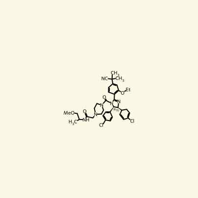 CCOc1cc(C(C)(C)C#N)ccc1C1=N[C@@H](C2C=CC(Cl)=CC2)[C@@H](c2ccc(Cl)cc2)N1C(=O)N1CCN(CC(=O)NC(C)COC)CC1